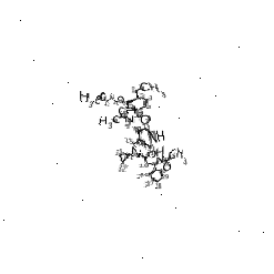 CCc1ccc(C(=O)N(C[C@@H]2CNC[C@H]2CN(C(=O)CC(NC(C)=O)c2ccccc2)C2CC2)C(C)C)cc1OCCCOC